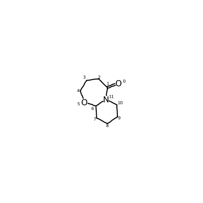 O=C1CCCOC2CCCCN12